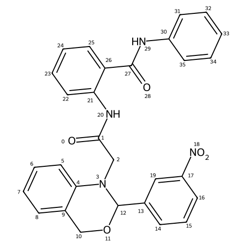 O=C(CN1c2ccccc2COC1c1cccc([N+](=O)[O-])c1)Nc1ccccc1C(=O)Nc1ccccc1